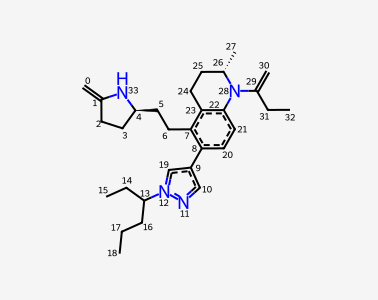 C=C1CC[C@H](CCc2c(-c3cnn(C(CC)CCC)c3)ccc3c2CC[C@H](C)N3C(=C)CC)N1